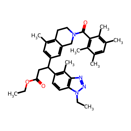 CCOC(=O)CC(c1cc(C)c2c(c1)CN(C(=O)c1c(C)c(C)cc(C)c1C)CC2)c1ccc2c(nnn2CC)c1C